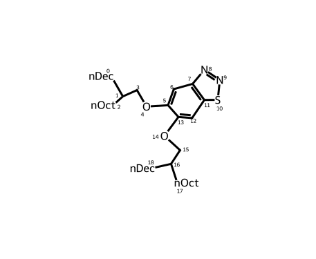 CCCCCCCCCCC(CCCCCCCC)COc1cc2nnsc2cc1OCC(CCCCCCCC)CCCCCCCCCC